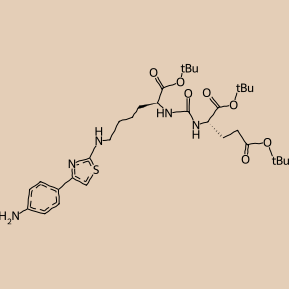 CC(C)(C)OC(=O)CC[C@H](NC(=O)N[C@@H](CCCCNc1nc(-c2ccc(N)cc2)cs1)C(=O)OC(C)(C)C)C(=O)OC(C)(C)C